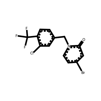 O=c1cc(Br)ccn1Cc1ccc(C(F)(F)F)c(Cl)c1